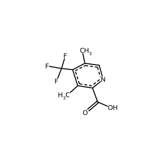 Cc1cnc(C(=O)O)c(C)c1C(F)(F)F